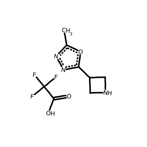 Cc1nnc(C2CNC2)o1.O=C(O)C(F)(F)F